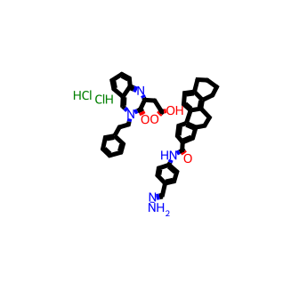 Cl.Cl.NN=Cc1ccc(NC(=O)c2ccc3c(c2)CCc2c-3ccc3c2CCCC3)cc1.O=C(O)CC1N=c2ccccc2=CN(CCc2ccccc2)C1=O